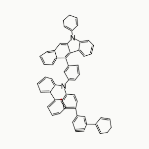 c1cc(-c2ccc(N(c3cccc(-c4c5ccccc5cc5c4c4ccccc4n5C4=CCCC=C4)c3)c3ccccc3-c3ccccc3)cc2)cc(C2=CCCC=C2)c#1